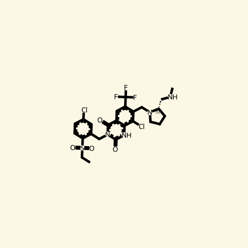 CCS(=O)(=O)c1ccc(Cl)cc1Cn1c(=O)[nH]c2c(Cl)c(CN3CCC[C@H]3CNC)c(C(F)(F)F)cc2c1=O